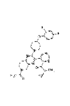 CC(=O)N1CCc2nc(N3CCC(Oc4ccc(F)cc4F)CC3)c(-c3cccnc3C(=O)N(C)C)nc2C1